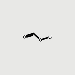 O=COCl